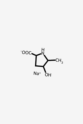 CC1NC(C(=O)[O-])CC1O.[Na+]